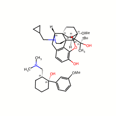 CO[C@@]12CC[C@@]3(C[C@@H]1[C@](C)(O)C(C)(C)C)[C@H]1Cc4ccc(O)c5c4[C@@]3(CCN1CC1CC1)[C@H]2O5.COc1cccc([C@@]2(O)CCCC[C@@H]2CN(C)C)c1